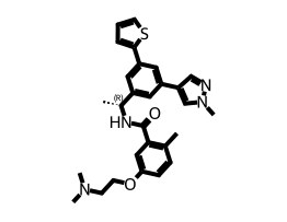 Cc1ccc(OCCN(C)C)cc1C(=O)N[C@H](C)c1cc(-c2cnn(C)c2)cc(-c2cccs2)c1